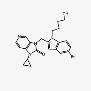 O=c1n(Cc2cc3cc(Br)ccc3n2CCCCO)c2cnccc2n1C1CC1